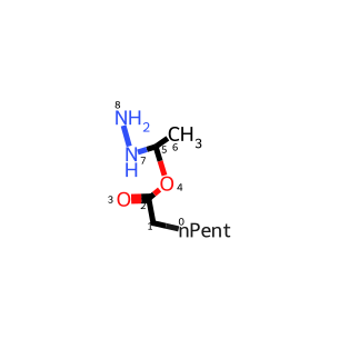 CCCCCCC(=O)OC(C)NN